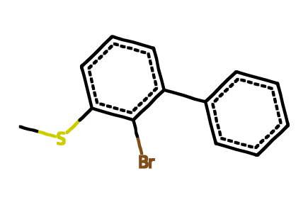 CSc1cccc(-c2ccccc2)c1Br